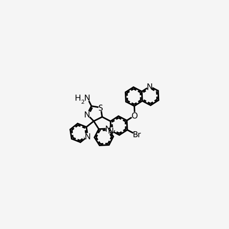 NC1=NC(c2ccccn2)(c2ccccn2)C(c2cc(Oc3cccc4ncccc34)c(Br)cn2)S1